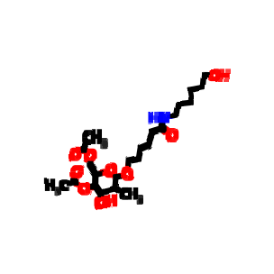 CC(=O)OCC1OC(OCCCCCC(=O)NCCCCCCO)C(C)C(O)C1OC(C)=O